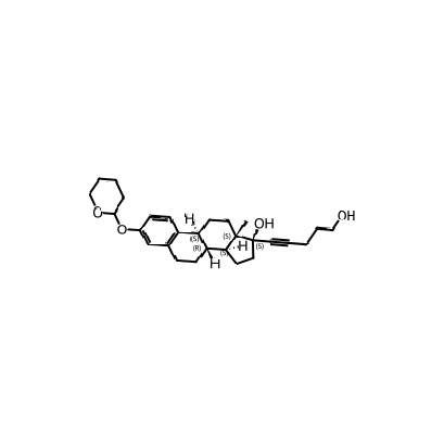 C[C@]12CC[C@@H]3c4ccc(OC5CCCCO5)cc4CC[C@H]3[C@@H]1CC[C@@]2(O)C#CCCCO